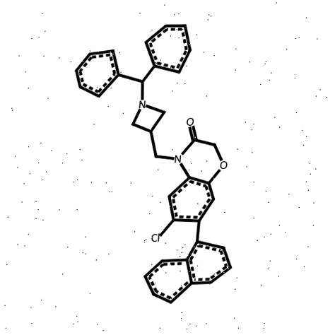 O=C1COc2cc(-c3cccc4ccccc34)c(Cl)cc2N1CC1CN(C(c2ccccc2)c2ccccc2)C1